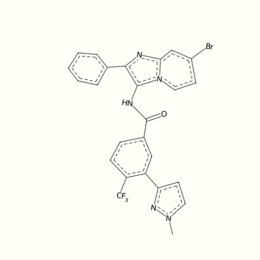 Cn1ccc(-c2cc(C(=O)Nc3c(-c4ccccc4)nc4cc(Br)ccn34)ccc2C(F)(F)F)n1